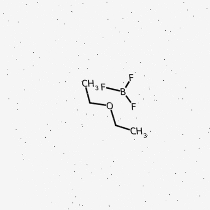 CCOCC.FB(F)F